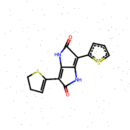 O=C1NC2=C(c3cccs3)C(=O)NC2=C1C1=CCCS1